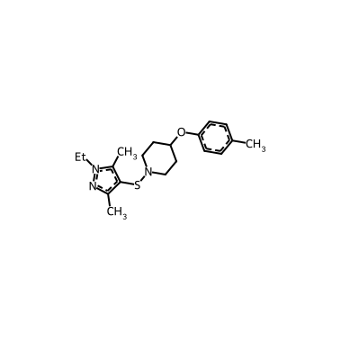 CCn1nc(C)c(SN2CCC(Oc3ccc(C)cc3)CC2)c1C